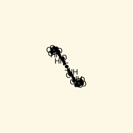 CC1(C)COC(=O)C(=O)O[C@@H]1C(=O)NCCC(=O)NCCSSCCNC(=O)CCNC(=O)[C@H]1OC(=O)C(=O)OCC1(C)C